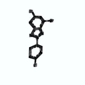 Clc1ccc(-n2nc3cc(Br)cc(Br)c3n2)cc1